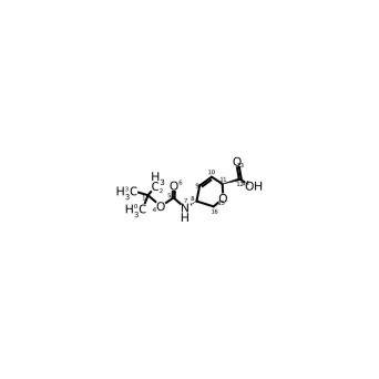 CC(C)(C)OC(=O)N[C@@H]1C=C[C@@H](C(=O)O)OC1